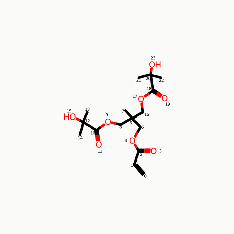 C=CC(=O)OCC(C)(COC(=O)C(C)(C)O)COC(=O)C(C)(C)O